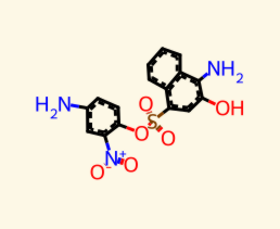 Nc1ccc(OS(=O)(=O)c2cc(O)c(N)c3ccccc23)c([N+](=O)[O-])c1